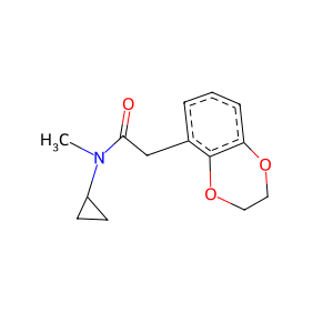 CN(C(=O)Cc1cccc2c1OCCO2)C1CC1